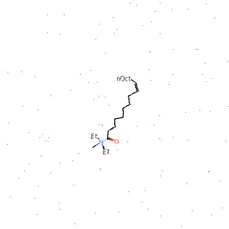 CCCCCCCC/C=C\CCCCCCCC(=O)[N+](C)(CC)CC